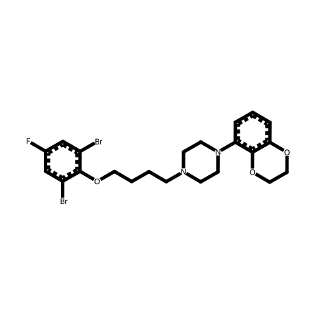 Fc1cc(Br)c(OCCCCN2CCN(c3cccc4c3OCCO4)CC2)c(Br)c1